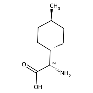 C[C@H]1CC[C@H]([C@H](N)C(=O)O)CC1